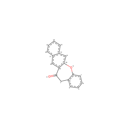 O=C1Cc2ccccc2Oc2cc3ccccc3cc21